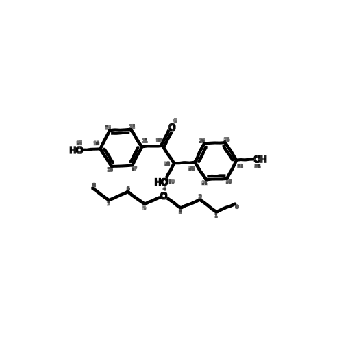 CCCCOCCCC.O=C(c1ccc(O)cc1)C(O)c1ccc(O)cc1